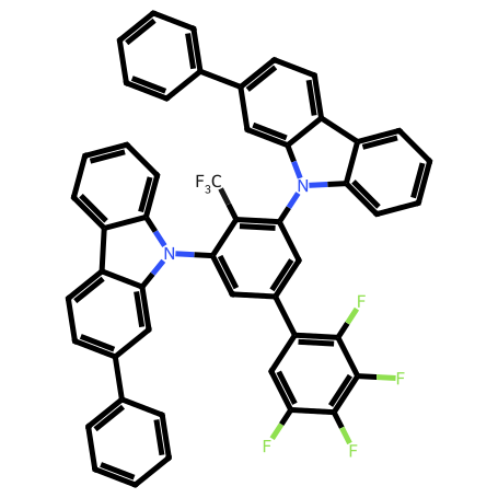 Fc1cc(-c2cc(-n3c4ccccc4c4ccc(-c5ccccc5)cc43)c(C(F)(F)F)c(-n3c4ccccc4c4ccc(-c5ccccc5)cc43)c2)c(F)c(F)c1F